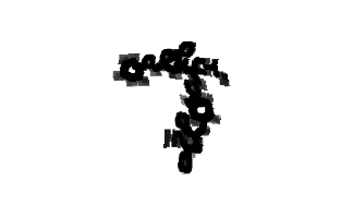 CC(COc1ccc(CC2SC(=O)NC2=O)cc1)N1CC(COc2ccccc2)OC1=O